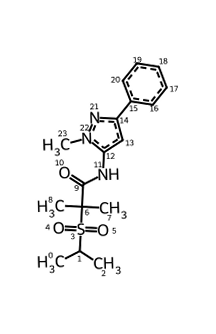 CC(C)S(=O)(=O)C(C)(C)C(=O)Nc1cc(-c2ccccc2)nn1C